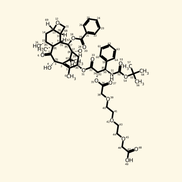 CC1=C2[C@H](O)C(=O)[C@]3(C)[C@H]([C@H]4CO[C@H]4C[C@H]3O)[C@@H](OC(=O)c3ccccc3)[C@@](O)(C[C@H]1OC(=O)[C@@H](OC(=O)COCCOCCOCC(=O)O)[C@H](NC(=O)OC(C)(C)C)c1ccccc1)[C@@H]2C